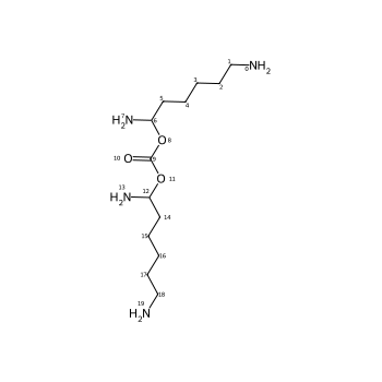 NCCCCCC(N)OC(=O)OC(N)CCCCCN